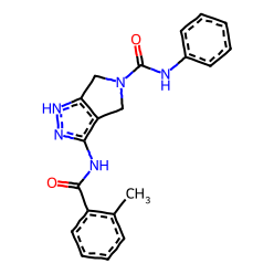 Cc1ccccc1C(=O)Nc1n[nH]c2c1CN(C(=O)Nc1ccccc1)C2